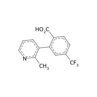 Cc1ncccc1-c1cc(C(F)(F)F)ccc1C(=O)O